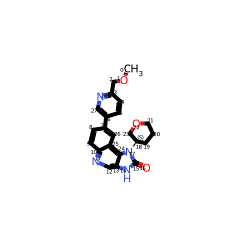 COCc1ccc(-c2ccc3ncc4[nH]c(=O)n([C@H]5CCCOC5)c4c3c2)cn1